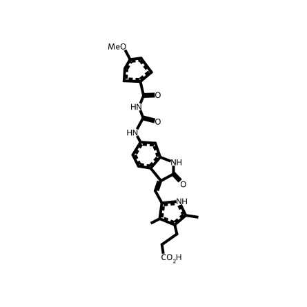 COc1ccc(C(=O)NC(=O)Nc2ccc3c(c2)NC(=O)/C3=C\c2[nH]c(C)c(CCC(=O)O)c2C)cc1